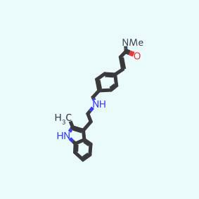 CNC(=O)/C=C/c1ccc(CNCCc2c(C)[nH]c3ccccc23)cc1